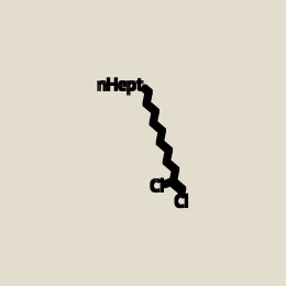 CCCCCCCCCCCCCCCCC(Cl)=CCl